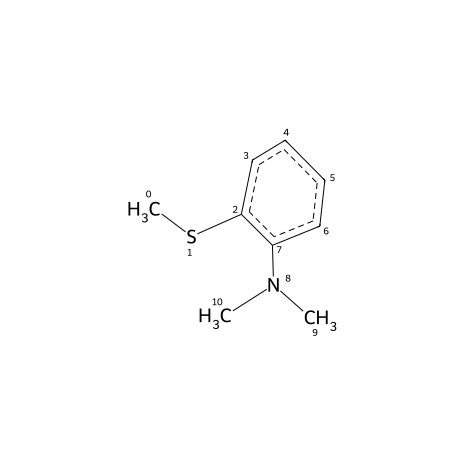 CSc1ccccc1N(C)C